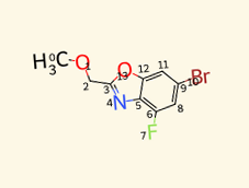 COCc1nc2c(F)cc(Br)cc2o1